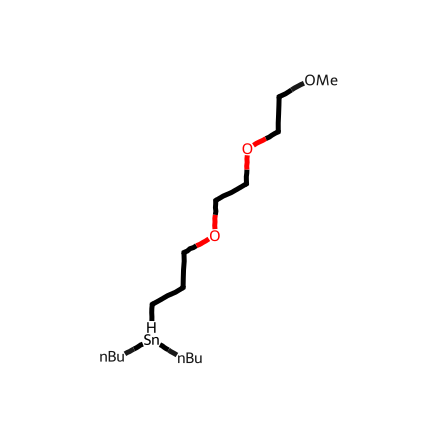 CCC[CH2][SnH]([CH2]CCC)[CH2]CCOCCOCCOC